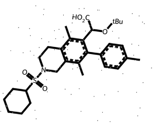 Cc1ccc(-c2c(C)c3c(c(C)c2C(OC(C)(C)C)C(=O)O)CCN(S(=O)(=O)C2CCCCC2)C3)cc1